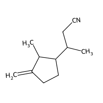 C=C1CCC(C(C)CC#N)C1C